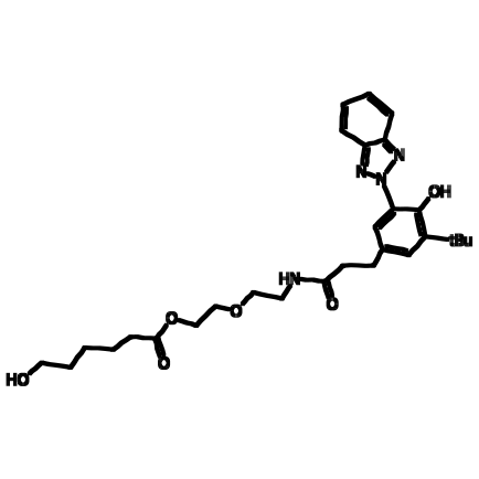 CC(C)(C)c1cc(CCC(=O)NCCOCCOC(=O)CCCCCO)cc(-n2nc3ccccc3n2)c1O